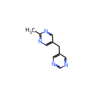 Cc1ncc(Cc2cncnc2)cn1